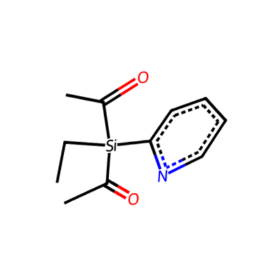 CC[Si](C(C)=O)(C(C)=O)c1ccccn1